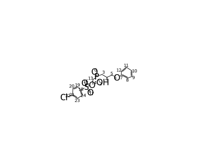 O=P(O)(CCCOc1ccccc1)COS(=O)(=O)c1ccc(Cl)cc1